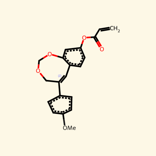 C=CC(=O)Oc1ccc2c(c1)OCOC/C(c1ccc(OC)cc1)=C\2